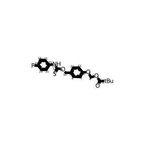 CC(C)(C)C(=O)OCOc1ccc(COC(=S)Nc2ccc(F)cc2)cc1